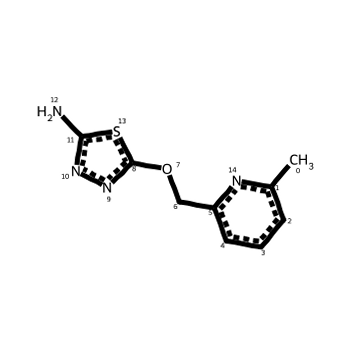 Cc1cccc(COc2nnc(N)s2)n1